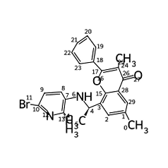 Cc1cc([C@@H](C)Nc2ccc(Br)nc2C)c2oc(-c3ccccc3)c(C)c(=O)c2c1